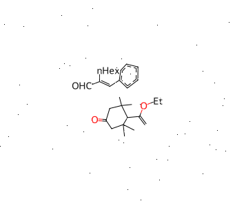 C=C(OCC)C1C(C)(C)CC(=O)CC1(C)C.CCCCCC/C(C=O)=C\c1ccccc1